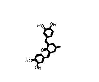 CC1CC(=Cc2ccc(O)c(O)c2)C(=O)C(=Cc2ccc(O)c(O)c2)C1